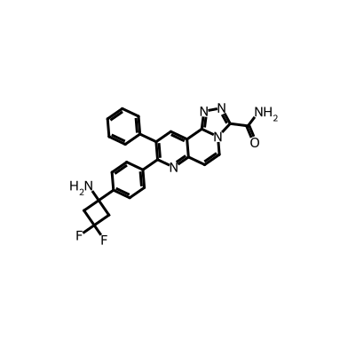 NC(=O)c1nnc2c3cc(-c4ccccc4)c(-c4ccc(C5(N)CC(F)(F)C5)cc4)nc3ccn12